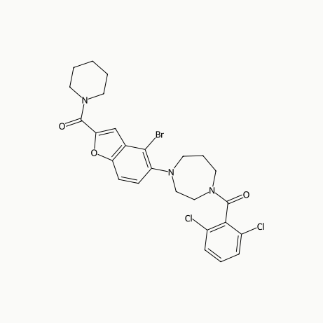 O=C(c1cc2c(Br)c(N3CCCN(C(=O)c4c(Cl)cccc4Cl)CC3)ccc2o1)N1CCCCC1